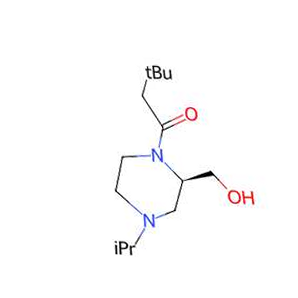 CC(C)N1CCN(C(=O)CC(C)(C)C)[C@@H](CO)C1